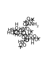 CN[C@@H]1[C@@H](O)[C@@H](O[C@@H]2[C@@H](O)[C@H](O[C@H]3O[C@H](CNC(=O)OC(C)(C)C)CC[C@H]3NC(=O)OC(C)(C)C)[C@@H](NC(=O)OC(C)(C)C)C[C@H]2NC(=O)[C@H]2OC(C)(C)N(C(=O)OC(C)(C)C)[C@H]2CN)OC[C@]1(C)O